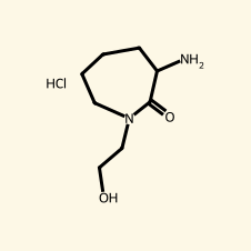 Cl.NC1CCCCN(CCO)C1=O